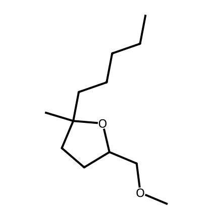 CCCCCC1(C)CCC(COC)O1